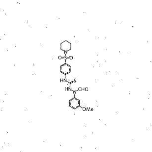 COc1cccc(N(C=O)NC(=S)Nc2ccc(S(=O)(=O)N3CCCCC3)cc2)c1